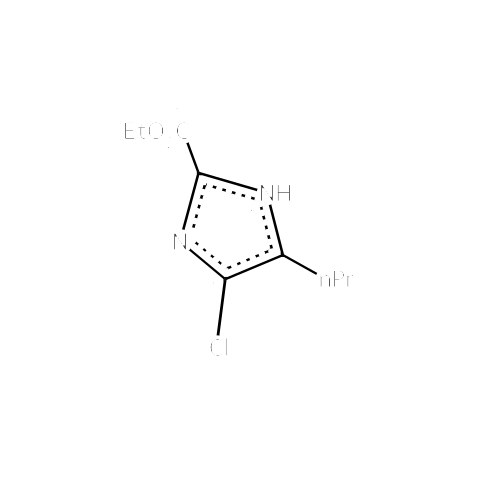 CCCc1[nH]c(C(=O)OCC)nc1Cl